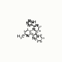 Cc1cccc(-c2nc3ccccn3c2-c2ccnc(-c3nnn[nH]3)n2)n1